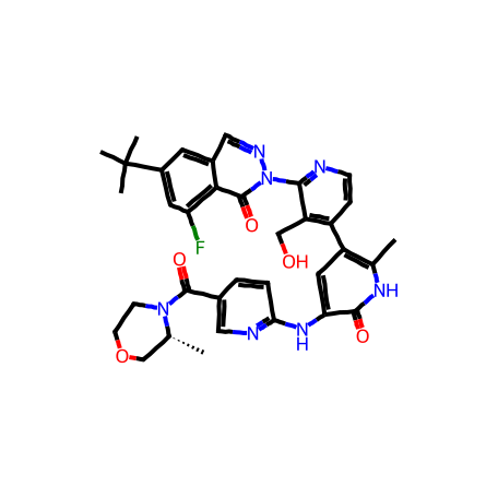 Cc1[nH]c(=O)c(Nc2ccc(C(=O)N3CCOC[C@H]3C)cn2)cc1-c1ccnc(-n2ncc3cc(C(C)(C)C)cc(F)c3c2=O)c1CO